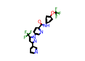 O=C(Nc1ccc(OC(F)(F)F)cc1)c1ccc(-n2nc(-c3cccnc3)cc2C(F)(F)F)cn1